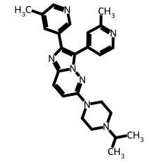 Cc1cncc(-c2nc3ccc(N4CCN(C(C)C)CC4)nn3c2-c2ccnc(C)c2)c1